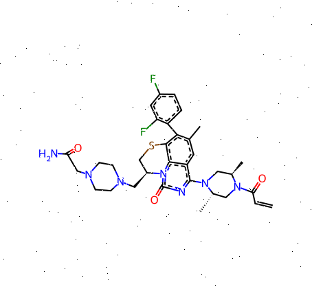 C=CC(=O)N1C[C@H](C)N(c2nc(=O)n3c4c(c(-c5ccc(F)cc5F)c(C)cc24)SC[C@@H]3CN2CCN(CC(N)=O)CC2)C[C@H]1C